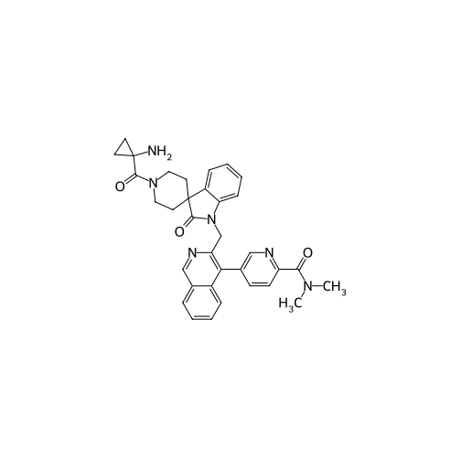 CN(C)C(=O)c1ccc(-c2c(CN3C(=O)C4(CCN(C(=O)C5(N)CC5)CC4)c4ccccc43)ncc3ccccc23)cn1